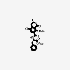 COC(=O)[C@H](Cc1ccccc1)NC(=O)c1cc(Cl)c2c(c1OC)C(=O)O[C@H](C)C2